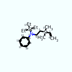 C=C[Si](C)(C)CCN(c1ccccc1)[Si](CC)(CC)CC